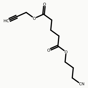 C#CCOC(=O)CCCC(=O)OCCCC#N